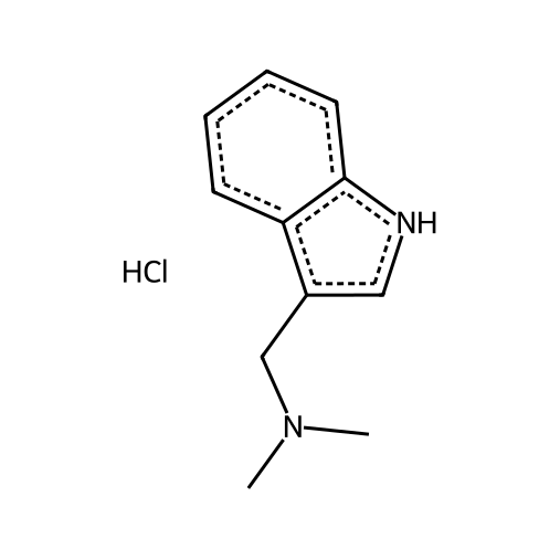 CN(C)Cc1c[nH]c2ccccc12.Cl